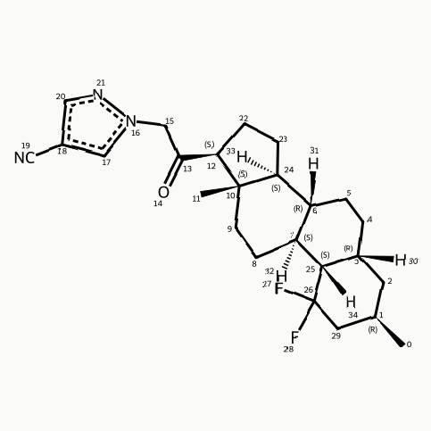 C[C@@H]1C[C@H]2CC[C@@H]3[C@H](CC[C@]4(C)[C@@H](C(=O)Cn5cc(C#N)cn5)CC[C@@H]34)[C@H]2C(F)(F)C1